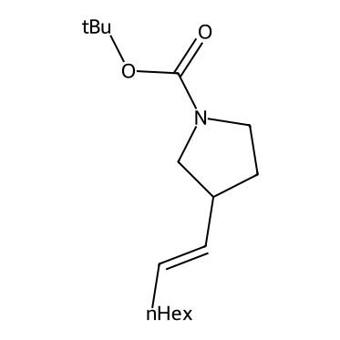 CCCCCCC=CC1CCN(C(=O)OC(C)(C)C)C1